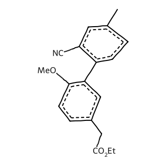 CCOC(=O)Cc1ccc(OC)c(-c2ccc(C)cc2C#N)c1